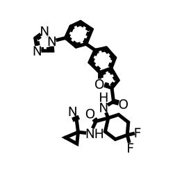 N#CC1(NC(=O)C2(NC(=O)c3cc4ccc(-c5cccc(-n6cncn6)c5)cc4o3)CCC(F)(F)CC2)CC1